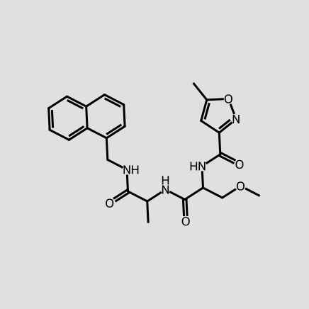 COCC(NC(=O)c1cc(C)on1)C(=O)NC(C)C(=O)NCc1cccc2ccccc12